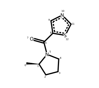 C[C@@H]1CCCN1C(=O)c1cncs1